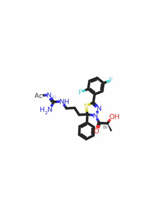 CC(=O)/N=C(\N)NCCCC1(c2ccccc2)SC(c2cc(F)ccc2F)=NN1C(=O)[C@H](C)O